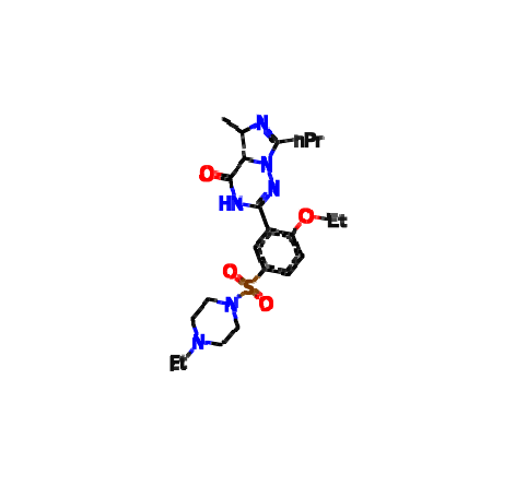 CCCC1=NC(C)C2C(=O)NC(c3cc(S(=O)(=O)N4CCN(CC)CC4)ccc3OCC)=NN12